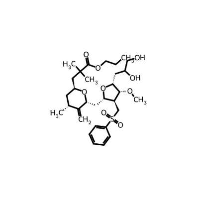 C=C1[C@H](C)C[C@@H](CC(C)(C)C(=O)OCCC)O[C@@H]1C[C@@H]1O[C@H](CC(O)CO)[C@H](OC)[C@H]1CS(=O)(=O)c1ccccc1